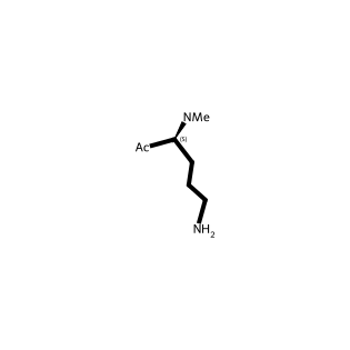 CN[C@@H](CCCN)C(C)=O